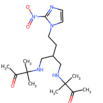 CC(=O)C(C)(C)NCC(CCn1ccnc1[N+](=O)[O-])CNC(C)(C)C(C)=O